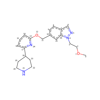 COCCn1ncc2ccc(COc3cccc(C4CCNCC4)n3)cc21